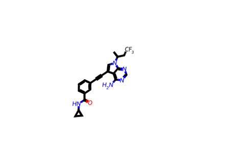 CC(CC(F)(F)F)n1cc(C#Cc2cccc(C(=O)NC3CC3)c2)c2c(N)ncnc21